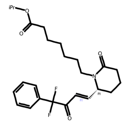 CC(C)OC(=O)CCCCCCN1C(=O)CCC[C@@H]1/C=C/C(=O)C(F)(F)c1ccccc1